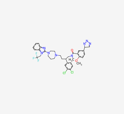 COc1ccc(C2C=NN=N2)cc1C(=O)N(C)CC(CCN1CCCN(c2nc3ccccc3n2CC(F)(F)F)CC1)c1ccc(Cl)c(Cl)c1